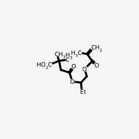 C=C(C)C(=O)OCC(CC)OC(=O)CC(C)(C)C(=O)O